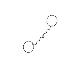 C1=C(CCCCOCCCCC2=CCCCCCCCCCC2)CCCCCCCCCC1